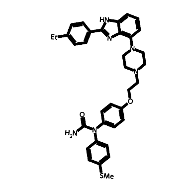 CCc1ccc(-c2nc3c(N4CCN(CCOc5ccc(N(C(N)=O)c6ccc(SC)cc6)cc5)CC4)cccc3[nH]2)cc1